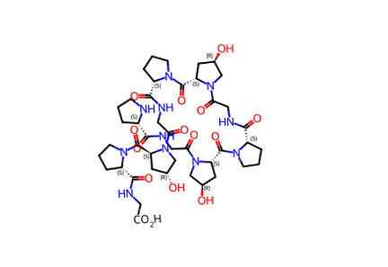 O=C(O)CNC(=O)[C@@H]1CCCN1C(=O)[C@@H]1C[C@@H](O)CN1C(=O)CNC(=O)[C@@H]1CCCN1C(=O)[C@@H]1C[C@@H](O)CN1C(=O)CNC(=O)[C@@H]1CCCN1C(=O)[C@@H]1C[C@@H](O)CN1C(=O)CNC(=O)[C@@H]1CCCN1